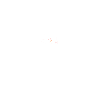 CCCCCCCCCCCC(OCC)C(OCC)(OP(=O)(O)O)C1=CCOC1=O